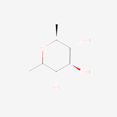 CC1O[C@@H](C)[C@H](O)[C@@H](O)[C@@H]1O